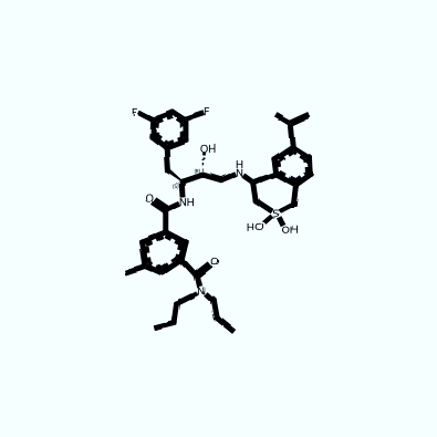 CCCN(CCC)C(=O)c1cc(C)cc(C(=O)N[C@@H](Cc2cc(F)cc(F)c2)[C@H](O)CNC2CS(O)(O)Cc3ccc(C(C)C)cc32)c1